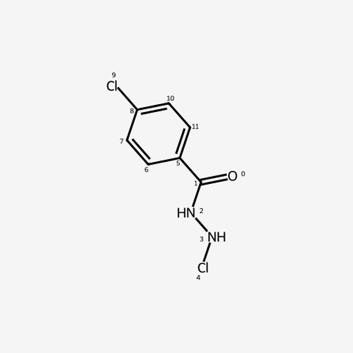 O=C(NNCl)c1ccc(Cl)cc1